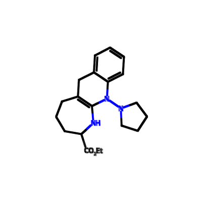 CCOC(=O)C1CCCC2=C(N1)N(N1CCCC1)c1ccccc1C2